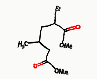 CCC(CC(C)CC(=O)OC)C(=O)OC